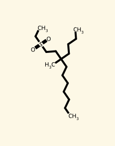 CCCCCCCC(C)(CCCC)CCS(=O)(=O)CC